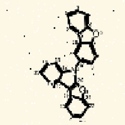 c1ccc2c(c1)oc1ccc(-n3c4cccnc4c4c5ccccc5oc43)cc12